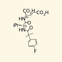 CC(C)[C@H](NC(=O)C(C)(C)c1ccc(F)cc1)C(=O)N[C@H](CCC(=O)O)C(=O)O